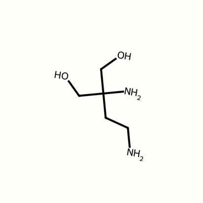 NCCC(N)(CO)CO